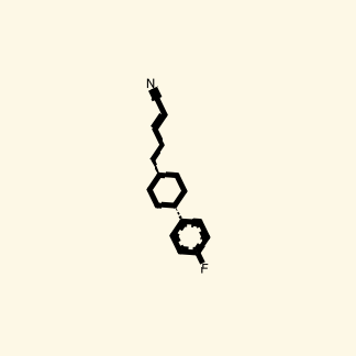 N#CC=CCC[C@H]1CC[C@H](c2ccc(F)cc2)CC1